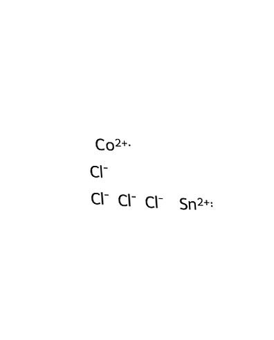 [Cl-].[Cl-].[Cl-].[Cl-].[Co+2].[Sn+2]